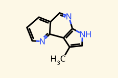 Cc1c[nH]c2ncc3cccnc3c12